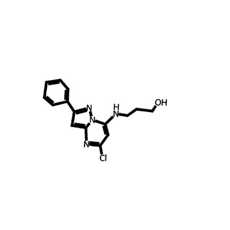 OCCCNc1cc(Cl)nc2cc(-c3ccccc3)nn12